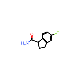 NC(=O)C1CCc2cc(F)ccc21